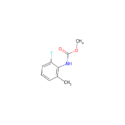 COC(=O)Nc1c(C)cccc1F